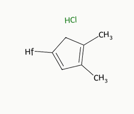 CC1=C(C)C[C]([Hf])=C1.Cl